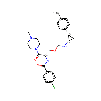 COc1ccc([C@@H]2C[C@H]2NCOC[C@H](NC(=O)c2ccc(F)cc2)C(=O)N2CCN(C)CC2)cc1